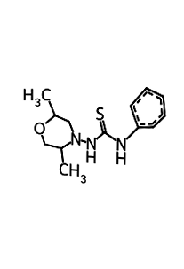 CC1CN(NC(=S)Nc2ccccc2)C(C)CO1